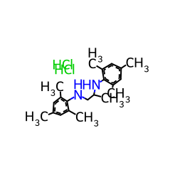 Cc1cc(C)c(NCC(C)Nc2c(C)cc(C)cc2C)c(C)c1.Cl.Cl